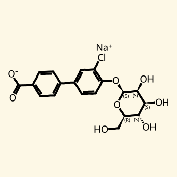 O=C([O-])c1ccc(-c2ccc(O[C@@H]3O[C@H](CO)[C@@H](O)[C@H](O)[C@@H]3O)c(Cl)c2)cc1.[Na+]